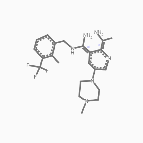 C/C(N)=c1\ncc(N2CCN(C)CC2)c\c1=C(\N)NCc1cccc(C(F)(F)F)c1C